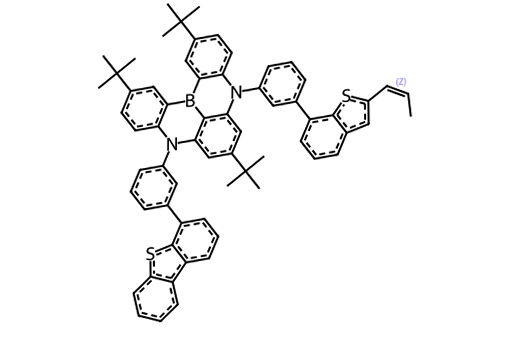 C/C=C\c1cc2cccc(-c3cccc(N4c5ccc(C(C)(C)C)cc5B5c6cc(C(C)(C)C)ccc6N(c6cccc(-c7cccc8c7sc7ccccc78)c6)c6cc(C(C)(C)C)cc4c65)c3)c2s1